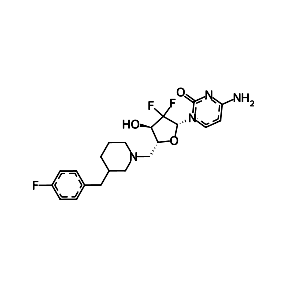 Nc1ccn([C@@H]2O[C@H](CN3CCCC(Cc4ccc(F)cc4)C3)[C@@H](O)C2(F)F)c(=O)n1